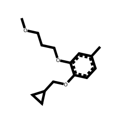 COCCCOc1cc(C)ccc1OCC1CC1